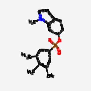 Cc1cc(S(=O)(=O)Oc2ccc3ccn(C)c3c2)cc(C)c1C